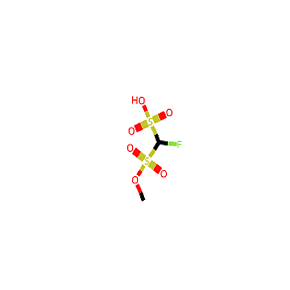 COS(=O)(=O)C(F)S(=O)(=O)O